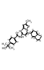 Cc1cc2nc(NC(=O)c3ccc(C(C)(C)O)cc3)cc(-c3ccc4sccc4c3)n2n1